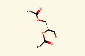 CC(C)C(=O)OC[C@H](C[O])OC(=O)C(C)C